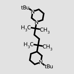 CC(C)(CCC(C)(C)N1CCCN(C(C)(C)C)C1)C1CCCN(C(C)(C)C)C1